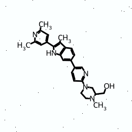 Cc1cc(-c2[nH]c3cc(-c4ccc(N5CCN(C)C(CO)C5)nc4)ccc3c2C)cc(C)n1